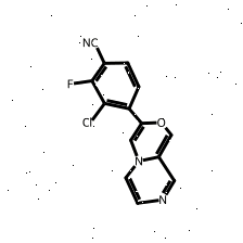 N#Cc1ccc(C2=CN3C=CN=CC3=CO2)c(Cl)c1F